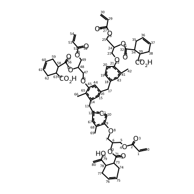 C=CC(=O)OCC(COc1ccc(Cc2cc(Cc3ccc(OCC(COC(=O)C=C)OC(=O)C4CC=CCC4C(=O)O)c(C)c3)cc(OCC(COC(=O)C=C)OC(=O)C3CC=CCC3C(=O)O)c2C)cc1C)OC(=O)C1CC=CCC1C(=C)O